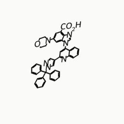 O=C(O)c1cc(N2CCOCC2)cc2c1ncn2-c1cc(-c2cnn(C(c3ccccc3)(c3ccccc3)c3ccccc3)c2)nc2ccccc12